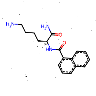 NCCCC[C@H](NC(=O)c1cccc2ccccc12)C(N)=O